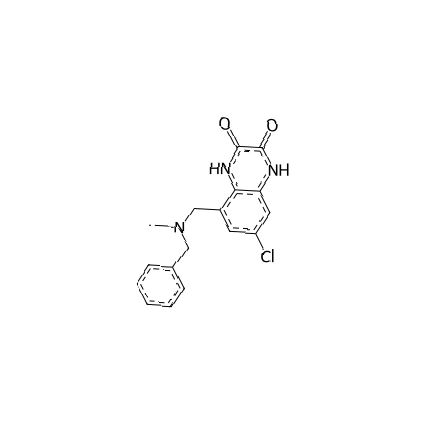 [CH2]N(Cc1ccccc1)Cc1cc(Cl)cc2[nH]c(=O)c(=O)[nH]c12